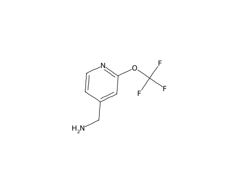 NCc1ccnc(OC(F)(F)F)c1